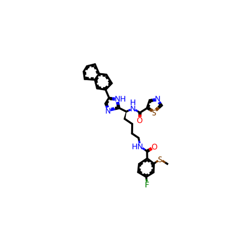 CSc1cc(F)ccc1C(=O)NCCCC[C@H](NC(=O)c1cncs1)c1ncc(-c2ccc3ccccc3c2)[nH]1